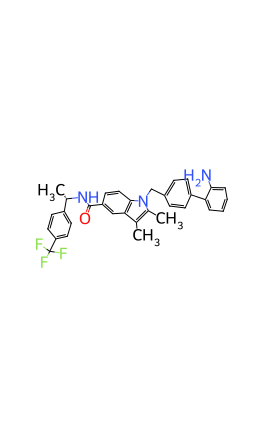 Cc1c(C)n(Cc2ccc(-c3ccccc3N)cc2)c2ccc(C(=O)N[C@@H](C)c3ccc(C(F)(F)F)cc3)cc12